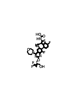 N#Cc1c(NC(=O)O)sc2c(F)ccc(-c3c(Cl)cc4c(N5CCCOCC5)nc(OC[C@]5(CO)CC5(F)F)nc4c3F)c12